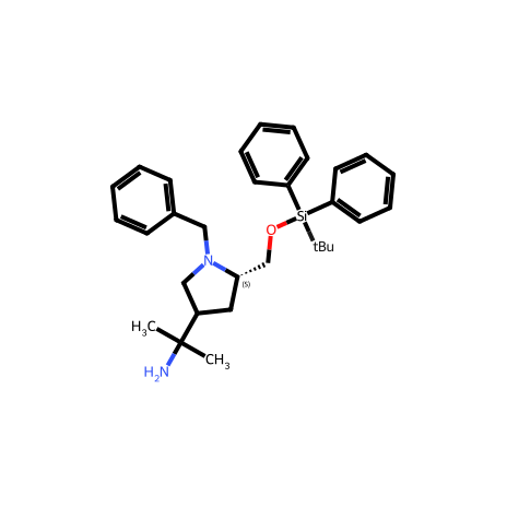 CC(C)(N)C1C[C@@H](CO[Si](c2ccccc2)(c2ccccc2)C(C)(C)C)N(Cc2ccccc2)C1